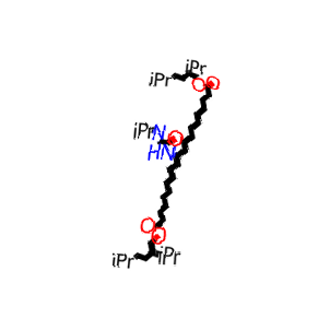 CC(C)CCC(COC(=O)CCCCCCCCCC(CCCCCCCCCC(=O)OCC(CCC(C)C)C(C)C)NC(=O)CN(C)C(C)C)C(C)C